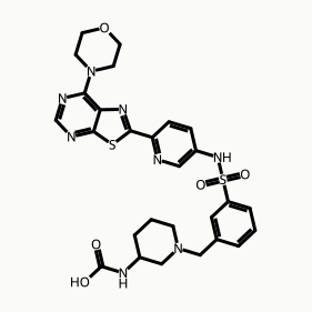 O=C(O)NC1CCCN(Cc2cccc(S(=O)(=O)Nc3ccc(-c4nc5c(N6CCOCC6)ncnc5s4)nc3)c2)C1